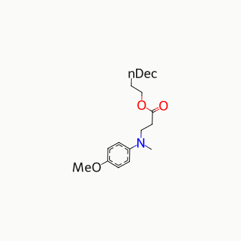 CCCCCCCCCCCCOC(=O)CCN(C)c1ccc(OC)cc1